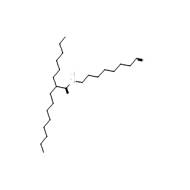 CCCCCCCCC(CCCCCC)C(=O)NCCCCCCCC=O